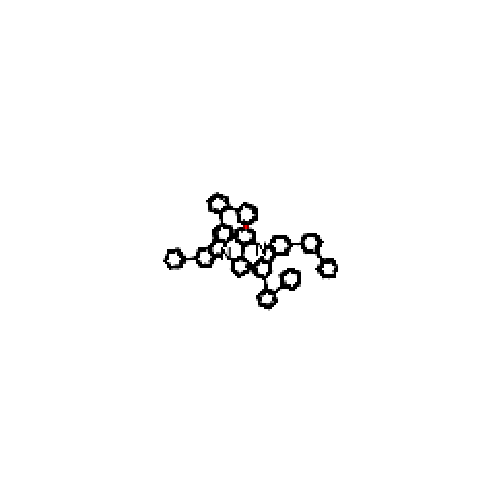 c1ccc(-c2cccc(-c3ccc4c(c3)c3cc(-c5ccccc5-c5ccccc5)ccc3n4-c3ccccc3-c3ccccc3-n3c4ccc(-c5ccccc5)cc4c4cc(-c5ccccc5-c5ccccc5)ccc43)c2)cc1